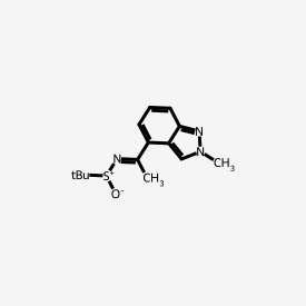 C/C(=N\[S+]([O-])C(C)(C)C)c1cccc2nn(C)cc12